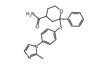 Cc1nccn1-c1ccc(SC2(c3ccccc3)CC(C(N)=O)CCO2)cc1